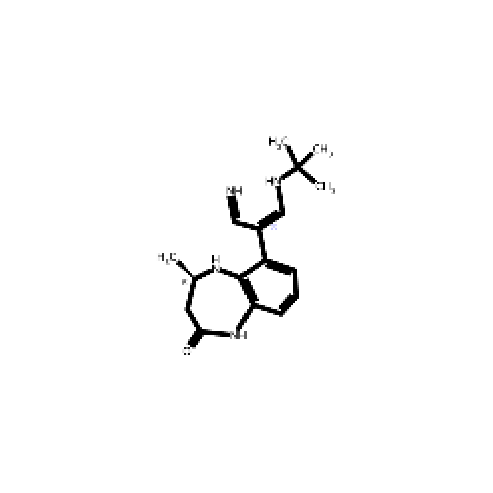 C[C@@H]1CC(=O)Nc2cccc(/C(C=N)=C/NC(C)(C)C)c2N1